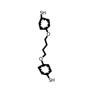 Sc1ccc(OCCCCOc2ccc(S)cc2)cc1